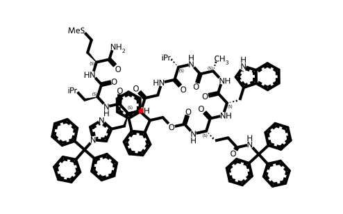 CSCC[C@H](NC(=O)[C@H](CC(C)C)NC(=O)[C@H](Cc1cn(C(c2ccccc2)(c2ccccc2)c2ccccc2)cn1)NC(=O)CNC(=O)[C@@H](NC(=O)[C@H](C)NC(=O)[C@H](Cc1c[nH]c2ccccc12)NC(=O)[C@H](CCC(=O)NC(c1ccccc1)(c1ccccc1)c1ccccc1)NC(=O)OCC1c2ccccc2-c2ccccc21)C(C)C)C(N)=O